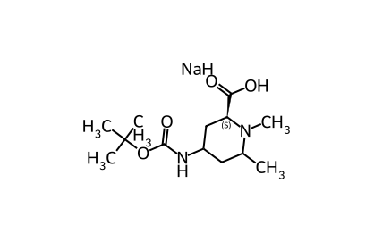 CC1CC(NC(=O)OC(C)(C)C)C[C@@H](C(=O)O)N1C.[NaH]